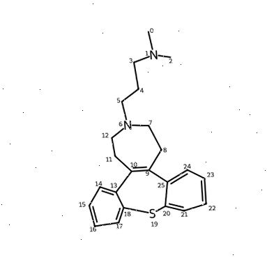 CN(C)CCCN1CCC2=C(CC1)c1ccccc1Sc1ccccc12